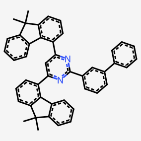 CC1(C)c2ccccc2-c2c(-c3cc(-c4cccc5c4-c4ccccc4C5(C)C)nc(-c4cccc(-c5ccccc5)c4)n3)cccc21